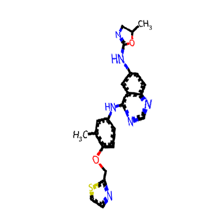 Cc1cc(Nc2ncnc3ccc(NC4=NCC(C)O4)cc23)ccc1OCc1nccs1